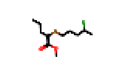 CCCC(SCCCC(C)F)C(=O)OC